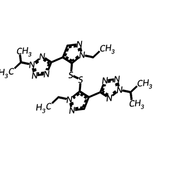 CCn1ncc(-c2nnn(C(C)C)n2)c1SSc1c(-c2nnn(C(C)C)n2)cnn1CC